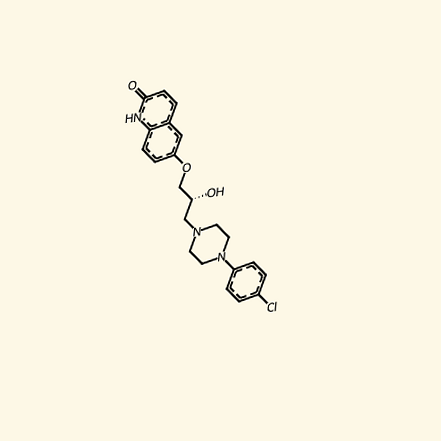 O=c1ccc2cc(OC[C@H](O)CN3CCN(c4ccc(Cl)cc4)CC3)ccc2[nH]1